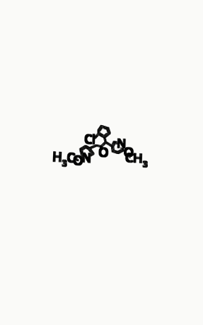 COc1ccc(CC(=O)C(c2ccc(OC)nc2)c2ccccc2Cl)cn1